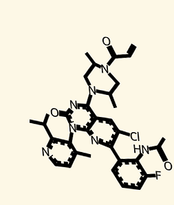 C=CC(=O)N1CC(C)N(c2nc(=O)n(-c3c(C)ccnc3C(C)C)c3nc(-c4cccc(F)c4NC(C)=O)c(Cl)cc23)CC1C